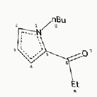 CCCCn1cccc1C(=O)CC